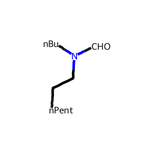 CCCCCCCN(C=O)CCCC